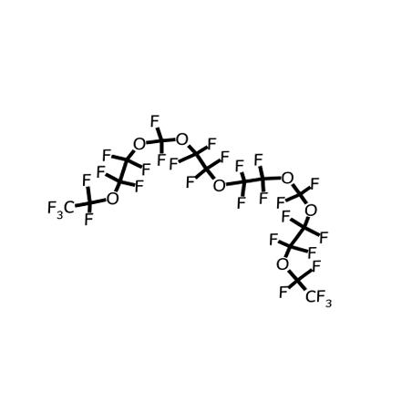 FC(F)(OC(F)(F)C(F)(F)OC(F)(F)C(F)(F)F)OC(F)(F)C(F)(F)OC(F)(F)C(F)(F)OC(F)(F)OC(F)(F)C(F)(F)OC(F)(F)C(F)(F)F